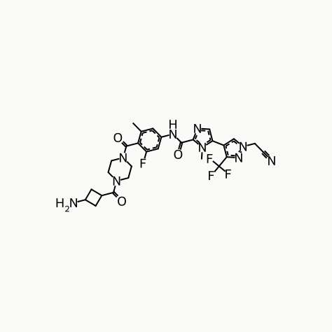 Cc1cc(NC(=O)c2ncc(-c3cn(CC#N)nc3C(F)(F)F)n2C)cc(F)c1C(=O)N1CCN(C(=O)C2CC(N)C2)CC1